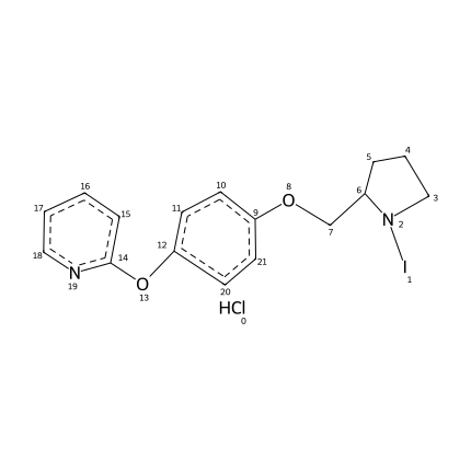 Cl.IN1CCCC1COc1ccc(Oc2ccccn2)cc1